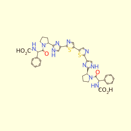 O=C(O)NC(C(=O)N1CCCC1c1nc(-c2ncc(-c3cnc(-c4c[nH]c([C@@H]5CCCN5C(=O)[C@H](NC(=O)O)c5ccccc5)n4)s3)s2)c[nH]1)c1ccccc1